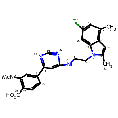 CNc1cc(-c2cc(NCCn3c(C)cc4c(C)cc(F)cc43)ncn2)ccc1C(=O)O